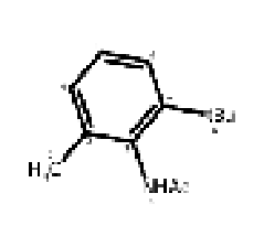 CC(=O)Nc1c(C)cccc1C(C)(C)C